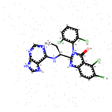 CC[C@H](Nc1ncnc2[nH]cnc12)c1nc2ccc(F)c(Cl)c2c(=O)n1-c1c(Cl)cccc1Cl